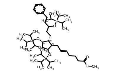 COC(=O)CCCC=CC[C@@H]1[C@@H](CCC(CCc2ccccc2)O[Si](C(C)C)(C(C)C)C(C)C)[C@H](O[Si](C(C)C)(C(C)C)C(C)C)C[C@@H]1O[Si](C(C)C)(C(C)C)C(C)C